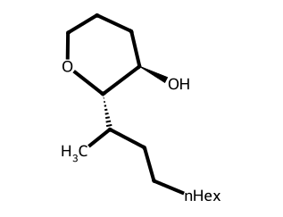 CCCCCCCCC(C)[C@@H]1OCCC[C@H]1O